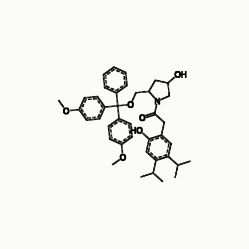 COc1ccc(C(OCC2CC(O)CN2C(=O)Cc2cc(C(C)C)c(C(C)C)cc2O)(c2ccccc2)c2ccc(OC)cc2)cc1